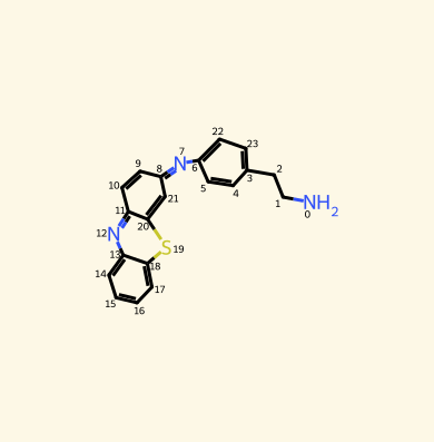 NCCc1ccc(N=c2ccc3nc4ccccc4sc-3c2)cc1